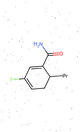 CC(C)C1CC=C(F)C=C1C(N)=O